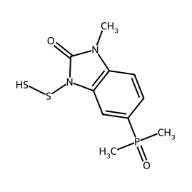 Cn1c(=O)n(SS)c2cc(P(C)(C)=O)ccc21